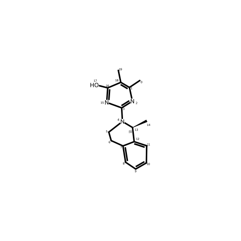 Cc1nc(N2CCc3ccccc3[C@@H]2C)nc(O)c1C